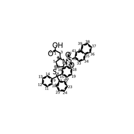 O=C(O)C[C@@H]1C[C@@H](SC(c2ccccc2)(c2ccccc2)c2ccccc2)CN1S(=O)(=O)c1ccc2ccccc2c1